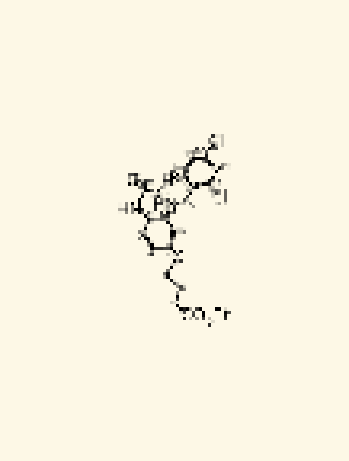 CCOC(=O)CCCOc1ccc(NC(=O)OC(C)(C)C)c(NCc2ccc(Cl)cc2Cl)c1